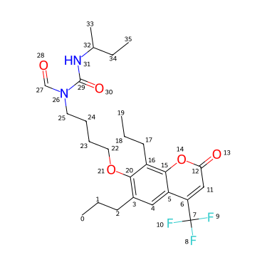 CCCc1cc2c(C(F)(F)F)cc(=O)oc2c(CCC)c1OCCCCN(C=O)C(=O)NC(C)CC